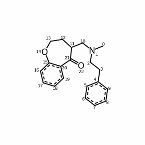 CN(CCc1ccccc1)CC1CCOc2ccccc2C1=O